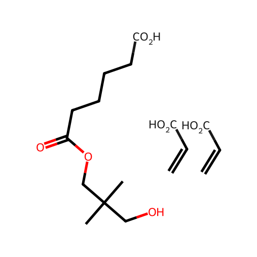 C=CC(=O)O.C=CC(=O)O.CC(C)(CO)COC(=O)CCCCC(=O)O